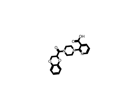 O=C(O)c1cccnc1N1CCN(C(=O)C2COc3ccccc3O2)CC1